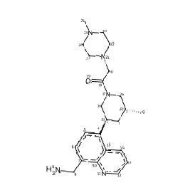 C[C@@H]1C[C@@H](c2ccc(CN)c3ncccc23)CN(C(=O)CN2CCN(C)CC2)C1